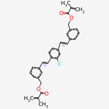 C=C(C)C(=O)OCc1cccc(/C=C/c2ccc(/C=C/c3cccc(COC(=O)C(=C)C)c3)c(F)c2)c1